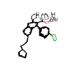 Cc1cc2ccc(CCC3CCCC3)cc2c(-c2ccc(Cl)cc2)c1C(OC(C)(C)C)C(=O)O